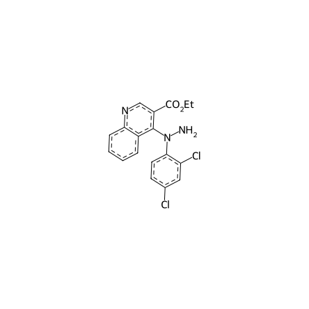 CCOC(=O)c1cnc2ccccc2c1N(N)c1ccc(Cl)cc1Cl